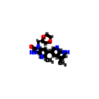 Cc1nc2[nH]c(=O)n(C[C@H]3COCCO3)c2cc1-c1cnc2[nH]cc(C)c2c1